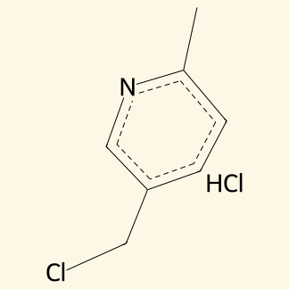 Cc1ccc(CCl)cn1.Cl